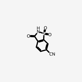 N#Cc1ccc2c(c1)S(=O)(=O)NC2=O